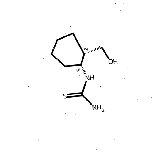 NC(=S)N[C@@H]1CCCC[C@@H]1CO